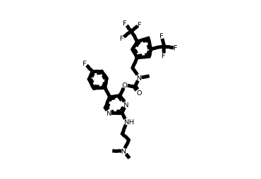 CN(C)CCNc1ncc(-c2ccc(F)cc2)c(OC(=O)N(C)Cc2cc(C(F)(F)F)cc(C(F)(F)F)c2)n1